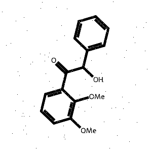 COc1cccc(C(=O)C(O)c2ccccc2)c1OC